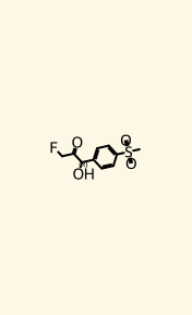 CS(=O)(=O)c1ccc([C@@H](O)C(=O)CF)cc1